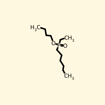 CCCCCCP(=O)(CC)OCCCC